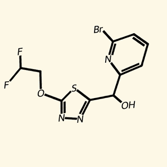 OC(c1cccc(Br)n1)c1nnc(OCC(F)F)s1